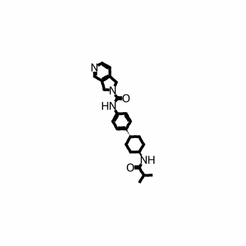 CC(C)C(=O)N[C@H]1CC[C@H](c2ccc(NC(=O)N3Cc4ccncc4C3)cc2)CC1